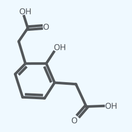 O=C(O)Cc1cccc(CC(=O)O)c1O